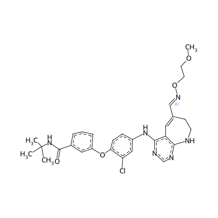 COCCO/N=C/C1=Cc2c(ncnc2Nc2ccc(Oc3cccc(C(=O)NC(C)(C)C)c3)c(Cl)c2)NCC1